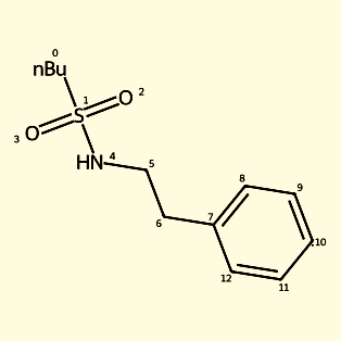 CCCCS(=O)(=O)NCCc1cc[c]cc1